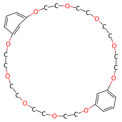 c1cc2cc(c1)OCCOCCOCCOCCOc1cccc(c1)OCCOCCOCCOCCO2